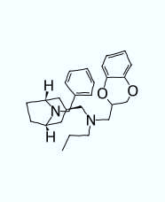 CCCN(CC1COc2ccccc2O1)C[C@@H]1C[C@H]2CC[C@@H](C1)N2Cc1ccccc1